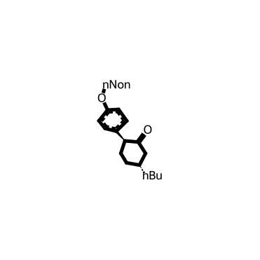 CCCCCCCCCOc1ccc([C@@H]2CC[C@@H](CCCC)CC2=O)cc1